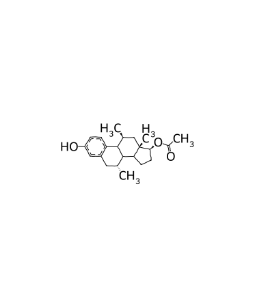 CC(=O)O[C@H]1CCC2C3C(c4ccc(O)cc4C[C@H]3C)[C@@H](C)C[C@@]21C